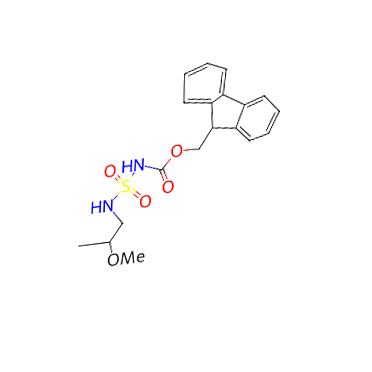 COC(C)CNS(=O)(=O)NC(=O)OCC1c2ccccc2-c2ccccc21